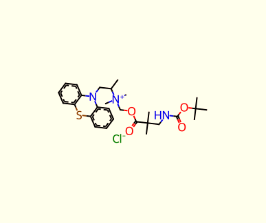 CC(CN1c2ccccc2Sc2ccccc21)[N+](C)(C)COC(=O)C(C)(C)CNC(=O)OC(C)(C)C.[Cl-]